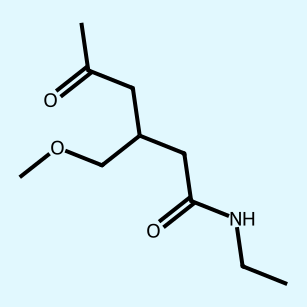 CCNC(=O)CC(COC)CC(C)=O